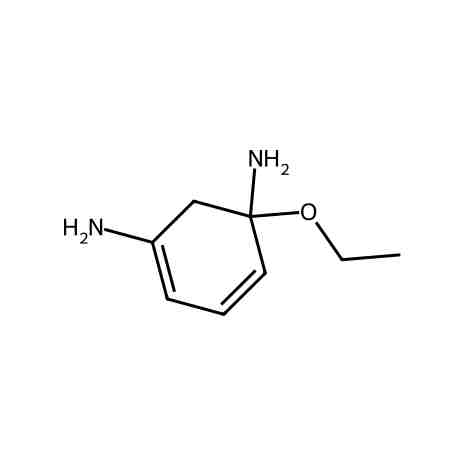 CCOC1(N)C=CC=C(N)C1